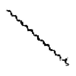 CCCCCC=CCC=CCC=CCC=CCCCCOC(=O)O